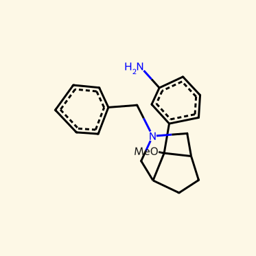 COC1(c2cccc(N)c2)C2CCC1CN(Cc1ccccc1)C2